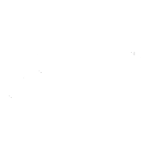 Cc1c(-c2cc(F)c(N)c(F)c2)ccc2c3ocnc3c(=O)n(C3CC3)c12